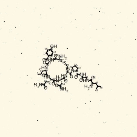 CC[C@H](C)[C@@H]1NC(=O)[C@H](C(=O)c2ccc(O)cc2)NC(=O)[C@@H](N)CSSC[C@@H](C(=O)N2CCC[C@@H]2C(=O)NC(=O)CNC(=O)[C@@H](N)CC(C)C)NC(=O)[C@H](CC(N)=O)NC(=O)[C@H](CCC(N)=O)NC1=O